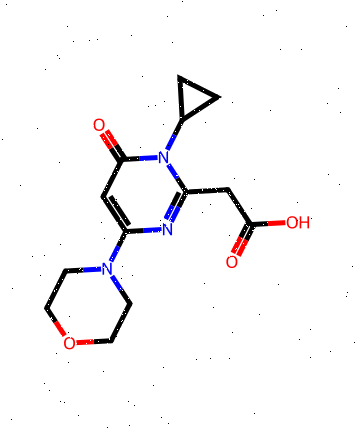 O=C(O)Cc1nc(N2CCOCC2)cc(=O)n1C1CC1